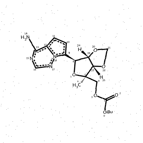 CC(C)COC(=O)OC[C@@]1(C)O[C@@H](c2ccc3c(N)ncnn23)[C@@H]2OCO[C@@H]21